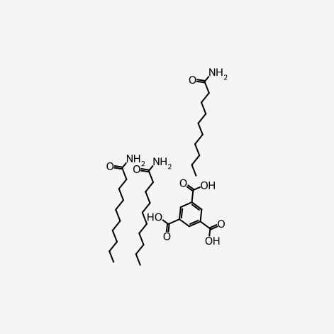 CCCCCCCCCC(N)=O.CCCCCCCCCC(N)=O.CCCCCCCCCC(N)=O.O=C(O)c1cc(C(=O)O)cc(C(=O)O)c1